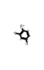 Fc1ccc(I)cc1I